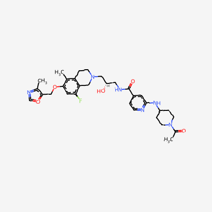 CC(=O)N1CCC(Nc2cc(C(=O)NC[C@H](O)CN3CCc4c(C)c(OCc5ocnc5C)cc(F)c4C3)ccn2)CC1